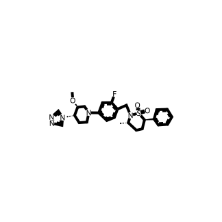 CO[C@@H]1CN(c2ccc(CN3[C@@H](C)CC[C@H](c4ccccc4)S3(=O)=O)c(F)c2)CC[C@@H]1n1cnnc1